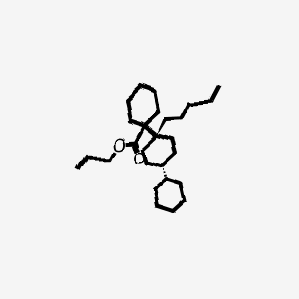 CCCCC[C@]1(C2(C(=O)OCCC)CCCCC2)CC[C@@H](C2CCCCC2)CC1